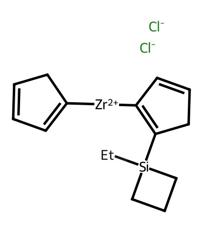 CC[Si]1(C2=[C]([Zr+2][C]3=CC=CC3)C=CC2)CCC1.[Cl-].[Cl-]